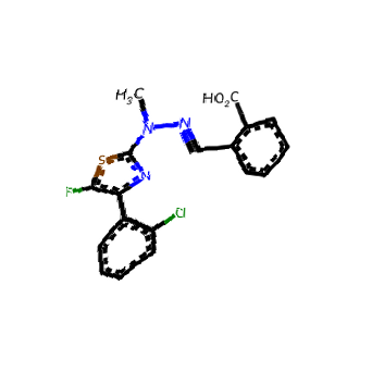 CN(N=Cc1ccccc1C(=O)O)c1nc(-c2ccccc2Cl)c(F)s1